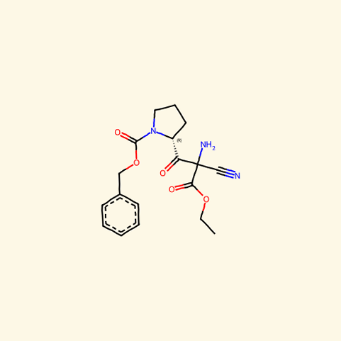 CCOC(=O)C(N)(C#N)C(=O)[C@H]1CCCN1C(=O)OCc1ccccc1